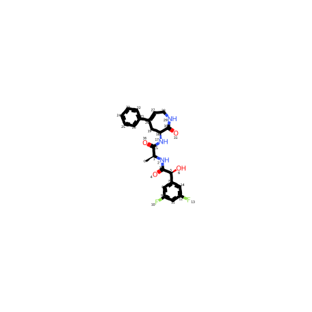 C[C@H](NC(=O)[C@@H](O)c1cc(F)cc(F)c1)C(=O)N[C@H]1CC(c2ccccc2)=CCNC1=O